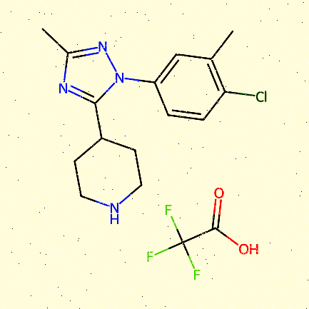 Cc1nc(C2CCNCC2)n(-c2ccc(Cl)c(C)c2)n1.O=C(O)C(F)(F)F